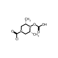 C[C@@H]1CN(C(=O)Cl)C[C@H](C)N1OC(=O)O